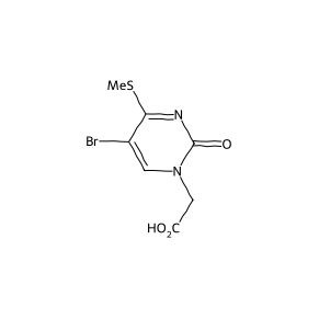 CSc1nc(=O)n(CC(=O)O)cc1Br